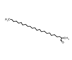 CCCCCCCCCCCCCCCCCCCCCCC(C)C=O